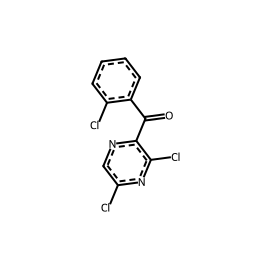 O=C(c1ccccc1Cl)c1ncc(Cl)nc1Cl